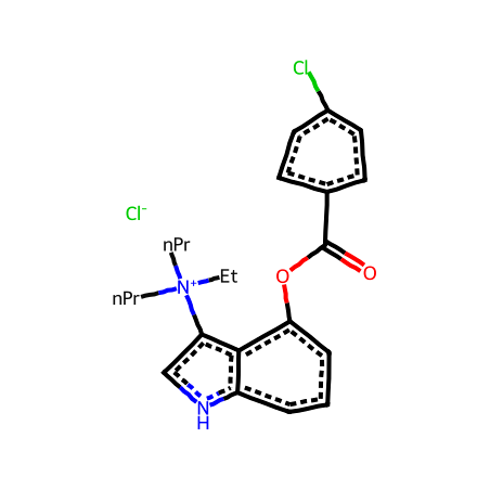 CCC[N+](CC)(CCC)c1c[nH]c2cccc(OC(=O)c3ccc(Cl)cc3)c12.[Cl-]